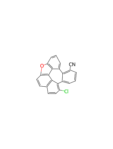 N#Cc1cccc2c1-c1cccc3oc4ccc5ccc(Cl)c-2c5c4c13